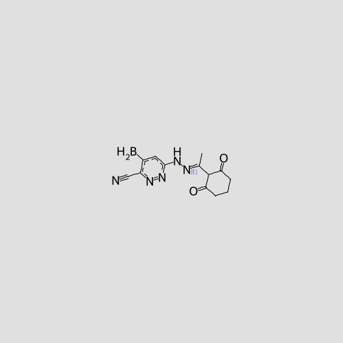 Bc1cc(N/N=C(\C)C2C(=O)CCCC2=O)nnc1C#N